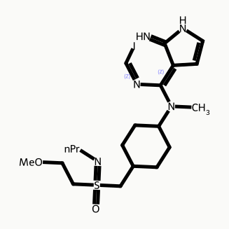 CCCN=S(=O)(CCOC)CC1CCC(N(C)C(/N=C\I)=C2\C=CNC2=N)CC1